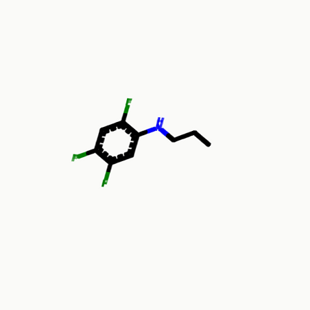 CCCNc1cc(F)c(F)cc1F